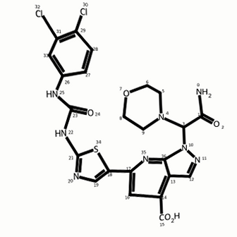 NC(=O)C(N1CCOCC1)n1ncc2c(C(=O)O)cc(-c3cnc(NC(=O)Nc4ccc(Cl)c(Cl)c4)s3)nc21